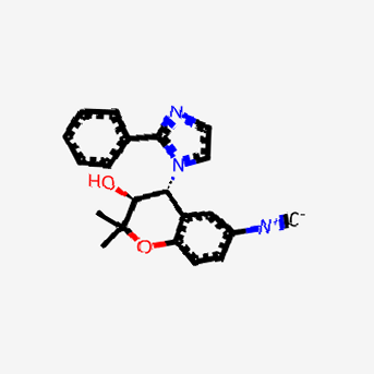 [C-]#[N+]c1ccc2c(c1)[C@@H](n1ccnc1-c1ccccc1)[C@H](O)C(C)(C)O2